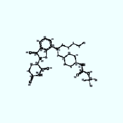 CCCCCN(CC1CCC(NC(=O)OC(C)(C)C)CC1)c1cccc2c1CN(C1CCC(=O)NC1=O)C2=O